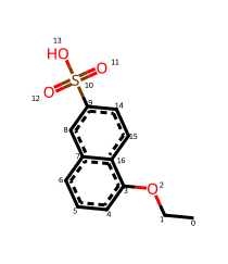 CCOc1cccc2cc(S(=O)(=O)O)ccc12